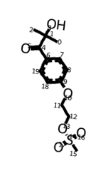 CC(C)(O)C(=O)c1ccc(OCCOS(C)(=O)=O)cc1